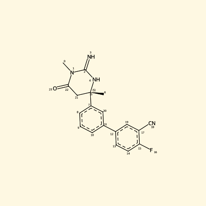 CN1C(=N)N[C@](C)(c2cccc(-c3ccc(F)c(C#N)c3)c2)CC1=O